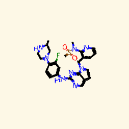 CC1CN(c2ccc(Nc3ncc4ccn(Cc5cccnc5N(C)S(C)(=O)=O)c4n3)cc2F)CCN1